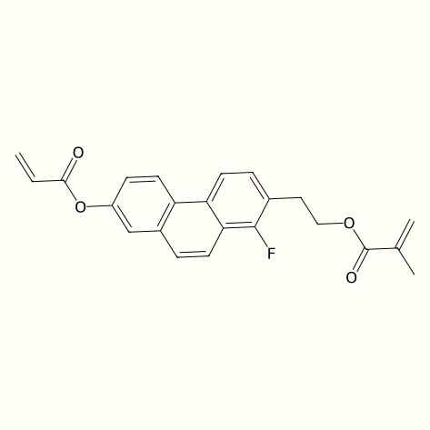 C=CC(=O)Oc1ccc2c(ccc3c(F)c(CCOC(=O)C(=C)C)ccc32)c1